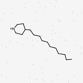 CCCCCCCCCC[CH]C1CCNCC1